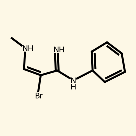 CN/C=C(/Br)C(=N)Nc1ccccc1